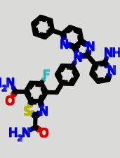 NC(=O)c1nc2c(Cc3ccc(-n4c(-c5cccnc5N)nc5ccc(-c6ccccc6)nc54)cc3)c(F)cc(C(N)=O)c2s1